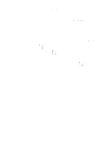 O=C1NCC(C2c3ccccc3CSc3cc(Cl)ccc32)N2N=CC(O)C(O)=C12